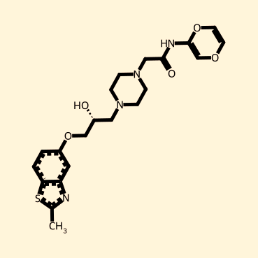 Cc1nc2cc(OC[C@H](O)CN3CCN(CC(=O)NC4=COC=CO4)CC3)ccc2s1